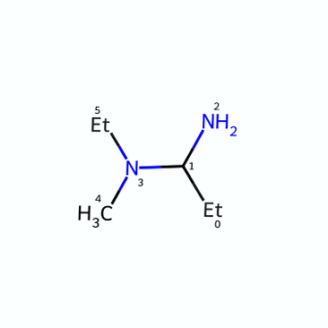 CCC(N)N(C)CC